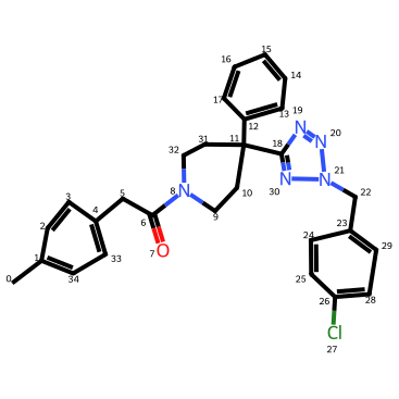 Cc1ccc(CC(=O)N2CCC(c3ccccc3)(c3nnn(Cc4ccc(Cl)cc4)n3)CC2)cc1